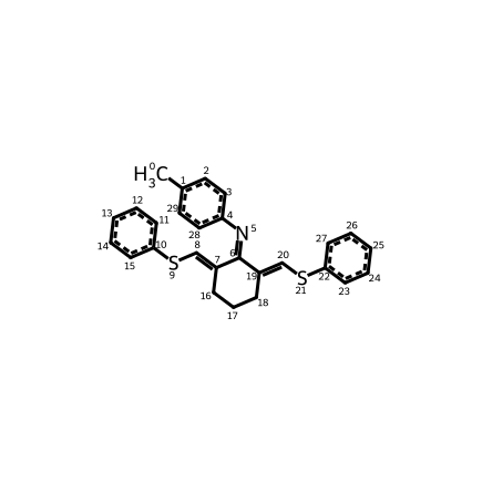 Cc1ccc(N=C2C(=CSc3ccccc3)CCCC2=CSc2ccccc2)cc1